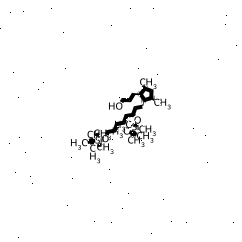 C[C@@H]1C[C@H](C)[C@H](CCCO)[C@H]1CCC(CCCCCO[Si](C)(C)C(C)(C)C)O[Si](C)(C)C(C)(C)C